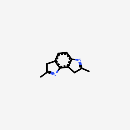 CC1=Nc2ccc3c(c2C1)N=C(C)C3